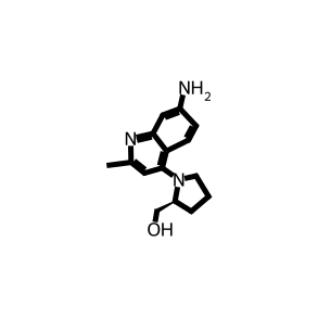 Cc1cc(N2CCC[C@H]2CO)c2ccc(N)cc2n1